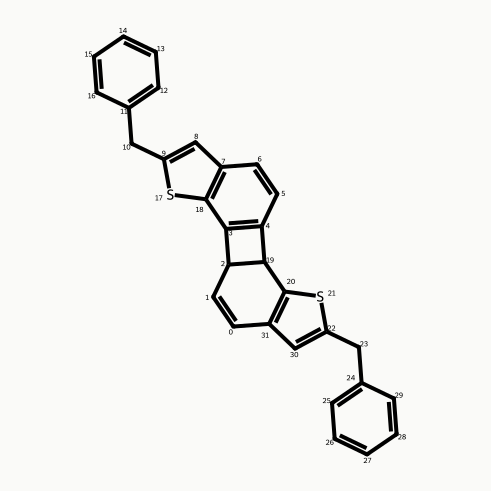 C1=CC2c3c(ccc4cc(Cc5ccccc5)sc34)C2c2sc(Cc3ccccc3)cc21